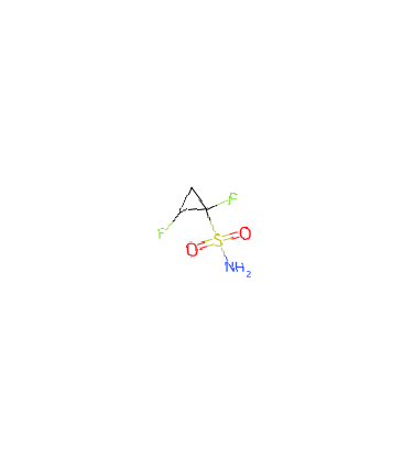 NS(=O)(=O)C1(F)CC1F